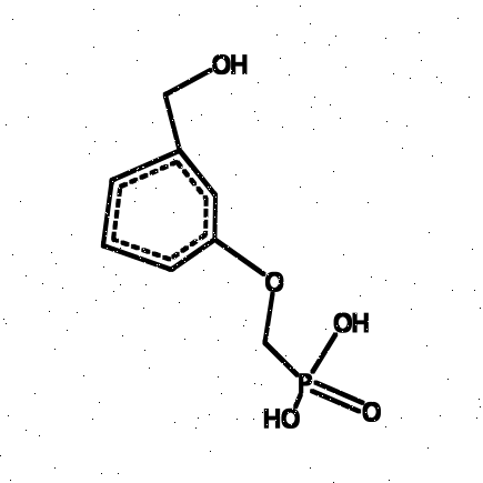 O=P(O)(O)COc1cccc(CO)c1